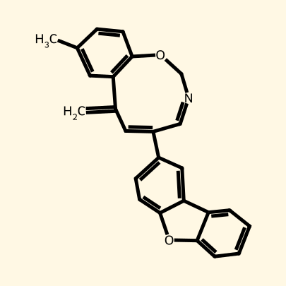 C=C1/C=C(c2ccc3oc4ccccc4c3c2)\C=N/COc2ccc(C)cc21